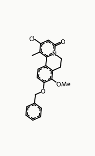 COc1c(OCc2ccccc2)ccc2c1CCn1c-2c(C)c(Cl)cc1=O